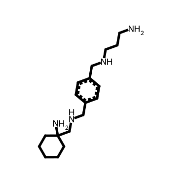 NCCCNCc1ccc(CNCC2(N)CCCCC2)cc1